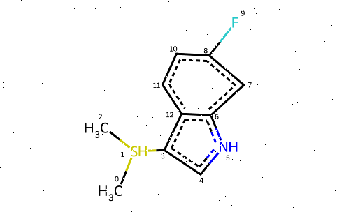 C[SH](C)c1c[nH]c2cc(F)ccc12